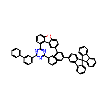 c1ccc(-c2cccc(-c3nc(-c4ccccc4)nc(-c4cccc5oc6ccc(-c7cccc(-c8ccc9c(c8)-c8ccccc8C98c9ccccc9-c9ccccc98)c7)cc6c45)n3)c2)cc1